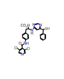 O=C(Nc1ccc(CC(Nc2cc(C(S)c3ccccc3)ncn2)C(=O)O)cc1)c1c(Cl)cncc1Cl